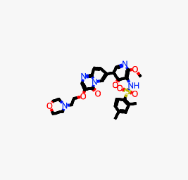 COC1=C(NS(=O)(=O)c2ccc(C)cc2C)C(=O)C(c2ccc3ncc(OCCN4CCOCC4)c(=O)n3c2)C=N1